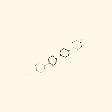 CCCCCCCC1COC(c2ccc(-c3ccc(C4CCC(C#N)(CC)CC4)cc3)cc2)OC1